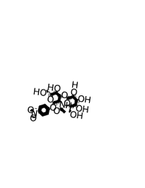 CC(=O)N[C@@H]1[C@@H](Oc2ccc([N+](=O)[O-])cc2)O[C@H](CO)[C@@H](O)[C@@H]1O[C@@H]1O[C@H](CO)[C@H](O)[C@H](O)[C@H]1O